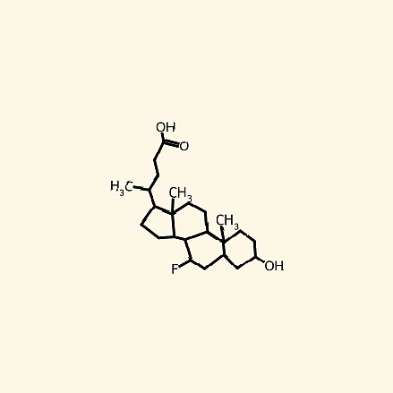 CC(CCC(=O)O)C1CCC2C3C(F)CC4CC(O)CCC4(C)C3CCC12C